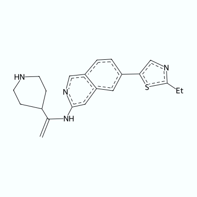 C=C(Nc1cc2cc(-c3cnc(CC)s3)ccc2cn1)C1CCNCC1